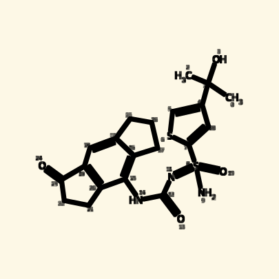 CC(C)(O)c1csc(S(N)(=O)=NC(=O)Nc2c3c(cc4c2CCC4=O)CCC3)c1